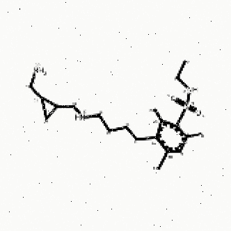 CCNS(=O)(=O)c1c(C)cc(C)c(CCCCNCC2CC2CN)c1C